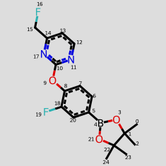 CC1(C)OB(c2ccc(Oc3nccc(CF)n3)c(F)c2)OC1(C)C